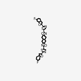 Fc1ccc2cc(-c3ncc(-c4nc5cc6cc7oc(-c8cnc(-c9cc%10ccc(F)cc%10o9)s8)nc7cc6cc5o4)s3)oc2c1